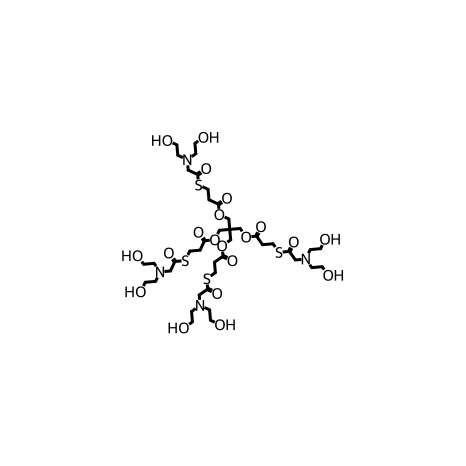 O=C(CCSC(=O)CN(CCO)CCO)OCC(COC(=O)CCSC(=O)CN(CCO)CCO)(COC(=O)CCSC(=O)CN(CCO)CCO)COC(=O)CCSC(=O)CN(CCO)CCO